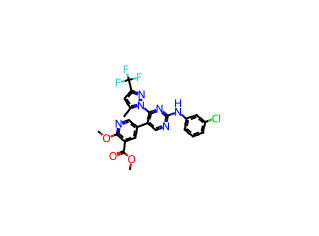 COC(=O)c1cc(-c2cnc(Nc3cccc(Cl)c3)nc2-n2nc(C(F)(F)F)cc2C)cnc1OC